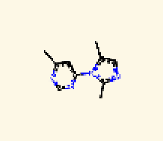 Cc1cc(-n2c(C)cnc2C)ncn1